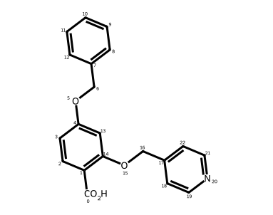 O=C(O)c1ccc(OCc2ccccc2)cc1OCc1ccncc1